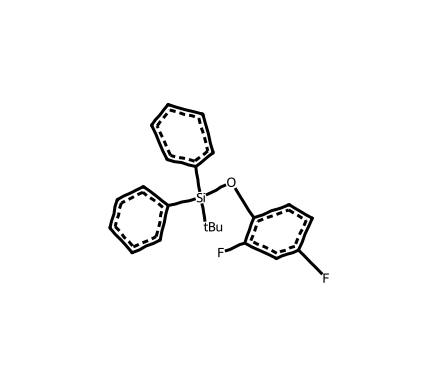 CC(C)(C)[Si](Oc1ccc(F)cc1F)(c1ccccc1)c1ccccc1